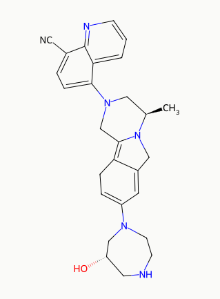 C[C@@H]1CN(c2ccc(C#N)c3ncccc23)CC2=C3CC=C(N4CCNC[C@H](O)C4)C=C3CN21